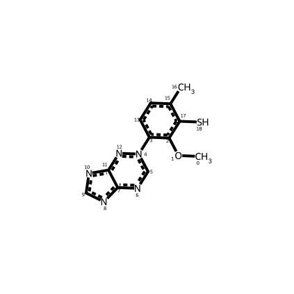 COc1c(-n2cnc3ncnc-3n2)ccc(C)c1S